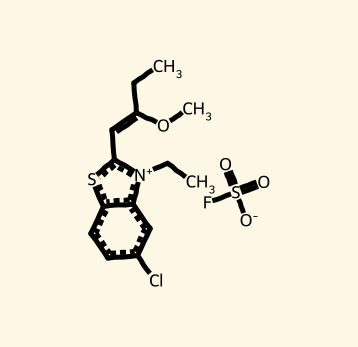 CCC(=Cc1sc2ccc(Cl)cc2[n+]1CC)OC.O=S(=O)([O-])F